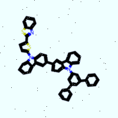 c1ccc(-c2cc(-c3ccccc3)cc(-n3c4ccccc4c4cc(-c5ccc6c(c5)c5ccccc5n6-c5ccc(-c6nc7ccccc7s6)s5)ccc43)c2)cc1